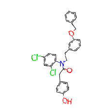 O=C(Cc1ccc(O)cc1)N(CCc1cccc(OCc2ccccc2)c1)c1ccc(Cl)cc1Cl